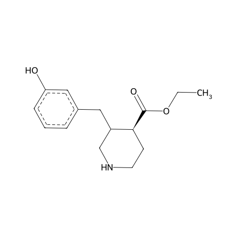 CCOC(=O)[C@H]1CCNCC1Cc1cccc(O)c1